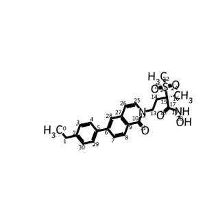 CCc1[c]cc(-c2ccc3c(=O)n(CC[C@](C)(C(=O)NO)S(C)(=O)=O)ccc3c2)cc1